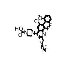 COc1cccc(F)c1-c1c(Cl)cc2c(N3CCN(C(=O)O)CC3)nc(CN=[N+]=[N-])nc2c1F